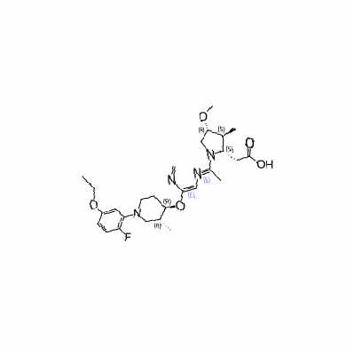 C=N/C(=C\N=C(/C)N1C[C@H](OC)[C@@H](C)[C@@H]1CC(=O)O)O[C@@H]1CCN(c2cc(OCC)ccc2F)C[C@H]1C